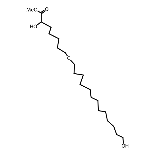 COC(=O)C(O)CCCCCCCCCCCCCCCCCCCO